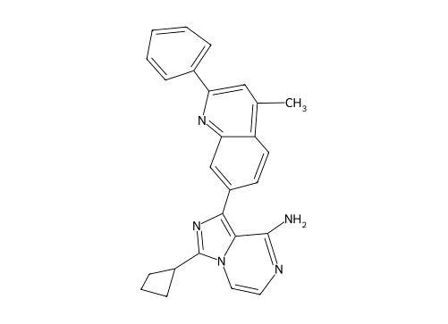 Cc1cc(-c2ccccc2)nc2cc(-c3nc(C4CCC4)n4ccnc(N)c34)ccc12